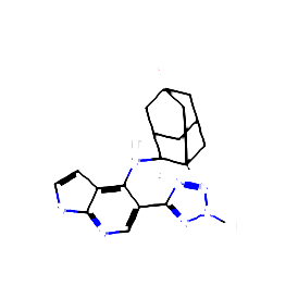 Cn1nnc(-c2cnc3[nH]ccc3c2N[C@H]2[C@@H]3CC4C[C@H]2C[C@](O)(C4)C3)n1